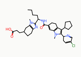 CCCCC(NC(=O)C1=Cc2c(c(C3CCCC3)c(C3CC=C(Cl)C=N3)n2C)CC1)c1nc2c(n1C)CC(CCC(=O)O)CC2